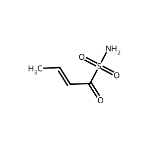 CC=CC(=O)S(N)(=O)=O